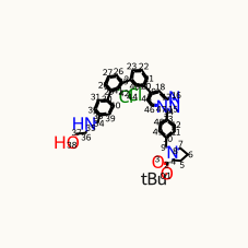 CC(C)(C)OC(=O)[C@H]1CCCN1Cc1ccc(-c2nnc3cc(-c4cccc(-c5cccc(-c6ccc(CNCCO)cc6)c5Cl)c4Cl)ccn23)cc1